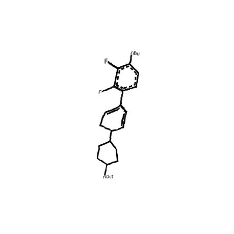 CCCCCCCCC1CCC(C2C=CC(c3ccc(CCCC)c(F)c3F)=CC2)CC1